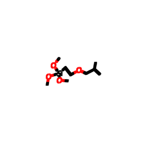 CO[Si](CCOCC(C)C)(OC)OC